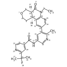 CCN1C(=O)[C@@H]2COCC[C@@H]2c2cc(-c3cc(NC(=O)c4ccnc(C(C)(C)F)c4)cnc3C)cnc21